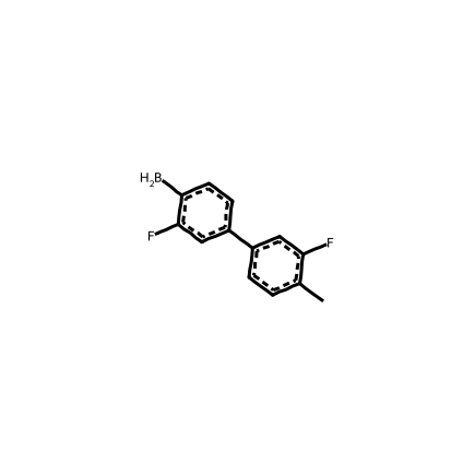 Bc1ccc(-c2ccc(C)c(F)c2)cc1F